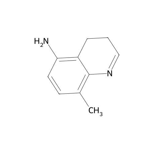 Cc1ccc(N)c2c1N=CCC2